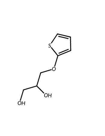 OCC(O)COc1cccs1